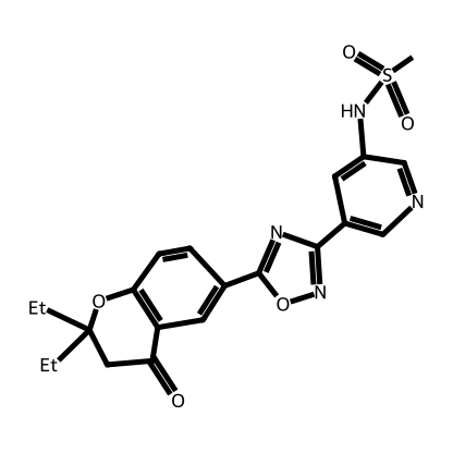 CCC1(CC)CC(=O)c2cc(-c3nc(-c4cncc(NS(C)(=O)=O)c4)no3)ccc2O1